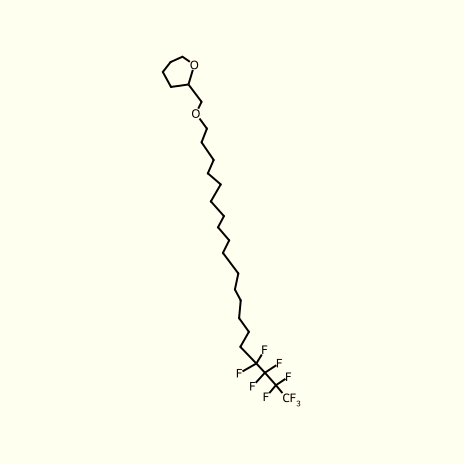 FC(F)(F)C(F)(F)C(F)(F)C(F)(F)CCCCCCCCCCCCCCCCOCC1CCCCO1